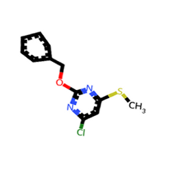 CSc1cc(Cl)nc(OCc2ccccc2)n1